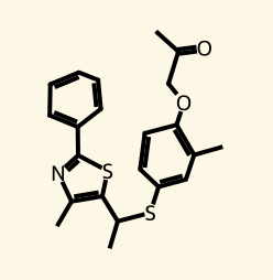 CC(=O)COc1ccc(SC(C)c2sc(-c3ccccc3)nc2C)cc1C